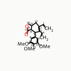 C=CC1=C(C=C)C(c2cc(OC)c(OC)c(OC)c2)C2C(=O)OCC2C1